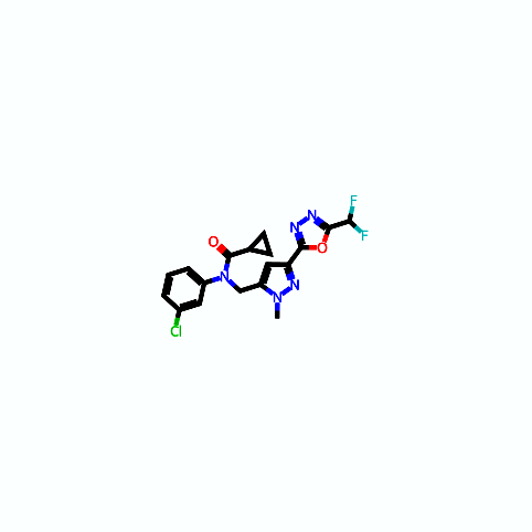 Cn1nc(-c2nnc(C(F)F)o2)cc1CN(C(=O)C1CC1)c1cccc(Cl)c1